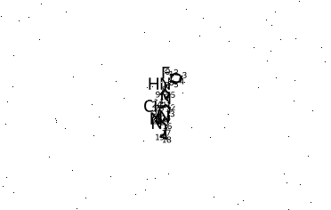 Fc1ccccc1NC1CN(c2ccn3c(CC4CC4)nnc3c2Cl)C1